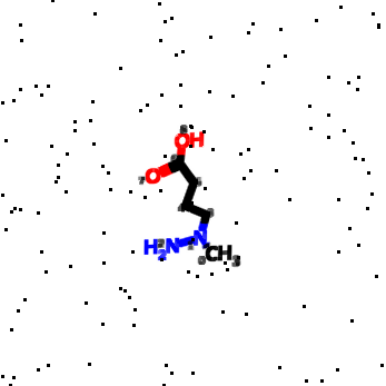 CN(N)CCCC(=O)O